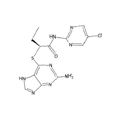 CC[C@H](Sc1nc(N)nc2nc[nH]c12)C(=O)Nc1ncc(Cl)cn1